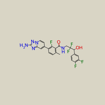 Cc1ccc(-c2ccn3nc(N)nc3c2)c(F)c1C(=O)NCC(F)(F)C(O)c1ccc(F)c(F)c1